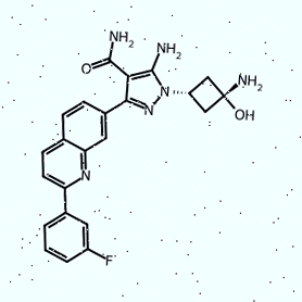 NC(=O)c1c(-c2ccc3ccc(-c4cccc(F)c4)nc3c2)nn([C@H]2C[C@@](N)(O)C2)c1N